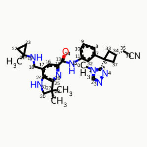 Cn1cnnc1[C@]1(c2cccc(NC(=O)c3cc(CNC4(C)CC4)c4c(n3)C(C)(C)CN4)c2)C[C@H](CC#N)C1